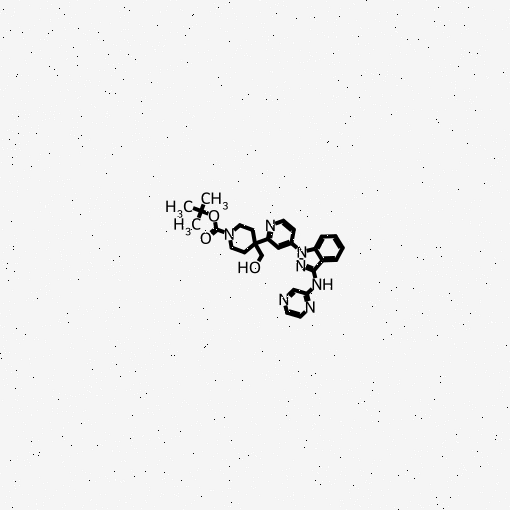 CC(C)(C)OC(=O)N1CCC(CO)(c2cc(-n3nc(Nc4cnccn4)c4ccccc43)ccn2)CC1